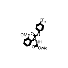 COC(=O)NN(C(=O)Oc1ccc(C(F)(F)F)cc1)c1ccccc1OC